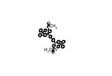 CCC1(CSc2ccc(C3(c4ccccc4)c4ccccc4-c4ccc(N(c5ccccc5)c5ccc(-c6ccc(N(c7ccccc7)c7ccc8c(c7)C(c7ccccc7)(c7ccc(SCC9(CC)COC9)cc7)c7ccccc7-8)cc6)cc5)cc43)cc2)COC1